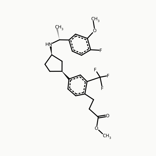 COC(=O)CCc1ccc([C@H]2CC[C@@H](N[C@H](C)c3ccc(F)c(OC)c3)C2)cc1C(F)(F)F